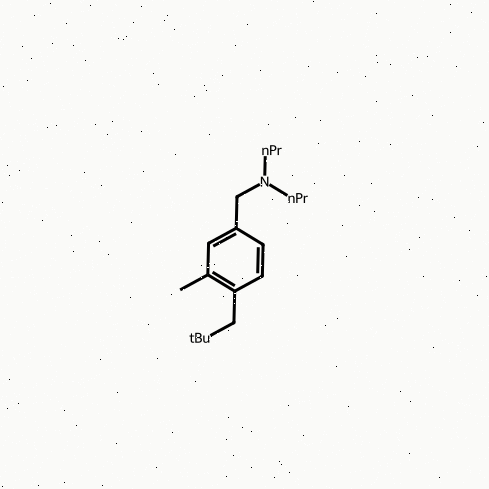 CCCN(CCC)Cc1ccc(CC(C)(C)C)c(C)c1